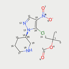 CC(C)(C)OC=O.O=[N+]([O-])c1cnn([C@@H]2CCCNC2)c1Cl